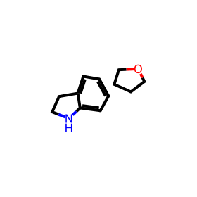 C1CCOC1.c1ccc2c(c1)CCN2